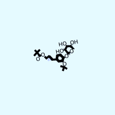 CC(C)(C)Oc1cc(/C=C/COC(=O)C(C)(C)C)ccc1O[C@@H]1OC[C@@H](O)[C@H](O)[C@H]1O